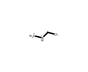 [SiH3]NCCl